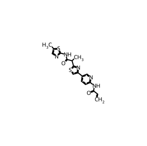 C=CC(=O)Nc1ccc(-c2csc(C(C)C(=O)Nc3ncc(C)s3)n2)cn1